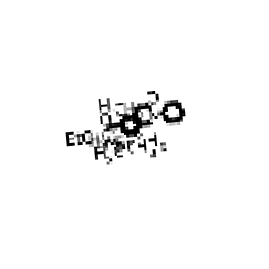 CCOC(=O)[C@@H](O)c1c(C)c2c(c(C)c1[Si](C)(C)C)CN(C1CCCCC1)C(=O)C2